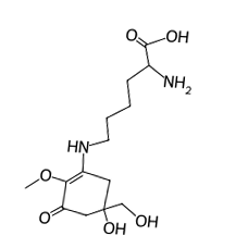 COC1=C(NCCCCC(N)C(=O)O)CC(O)(CO)CC1=O